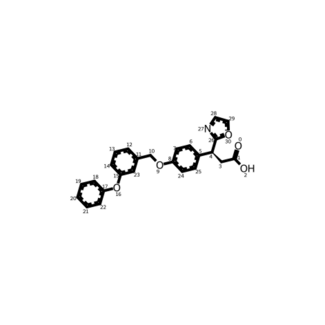 O=C(O)C[C@@H](c1ccc(OCc2cccc(Oc3ccccc3)c2)cc1)c1ncco1